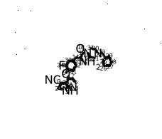 N#Cc1c[nH]c2nccc(Oc3ccc(CC(N)C(=O)N4CCN(Cc5ccccc5)CC4)cc3F)c12